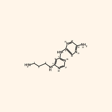 NCCCNc1cc(Nc2cnc(N)cn2)ncn1